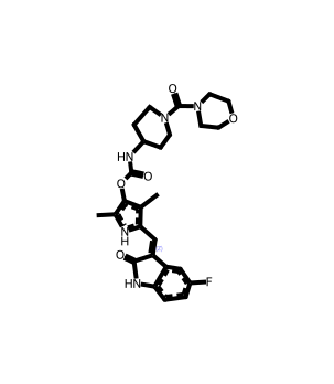 Cc1[nH]c(/C=C2\C(=O)Nc3ccc(F)cc32)c(C)c1OC(=O)NC1CCN(C(=O)N2CCOCC2)CC1